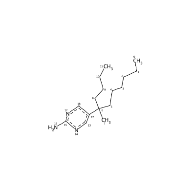 CCCCCCC(C)(CCCC)c1cnc(N)nc1